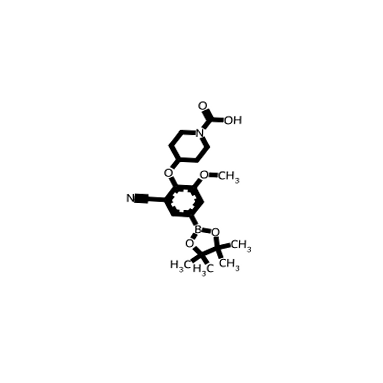 COc1cc(B2OC(C)(C)C(C)(C)O2)cc(C#N)c1OC1CCN(C(=O)O)CC1